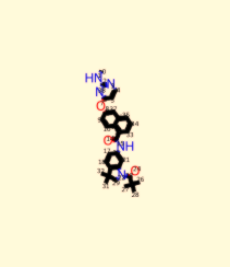 CNc1nccc(Oc2ccc3c(C(=O)Nc4ccc5c(c4)N(C(=O)C(C)(C)C)CC5(C)C)cccc3c2)n1